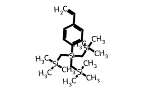 C=Cc1ccc([Si](C[Si](C)(C)C)(C[Si](C)(C)C)C[Si](C)(C)C)cc1